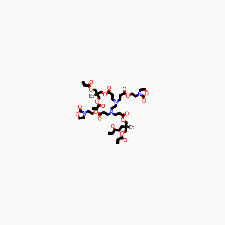 C=CC(=O)CCC(CC)(COC(=O)C=C)COC(=O)CCN(CCC(=O)OCCN1CCOC1=O)CCN(CCC(=O)OCCN1CCOC1=O)CCC(=O)OCC(CC)(COC(=O)C=C)COC(=O)C=C